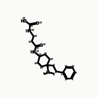 CN(C)C1(CCc2ccccc2)CCC(NC(=O)CCNC(=O)O)CC1